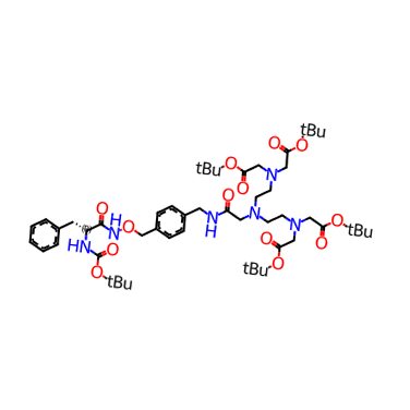 CC(C)(C)OC(=O)CN(CCN(CCN(CC(=O)OC(C)(C)C)CC(=O)OC(C)(C)C)CC(=O)NCc1ccc(CONC(=O)[C@@H](Cc2ccccc2)NC(=O)OC(C)(C)C)cc1)CC(=O)OC(C)(C)C